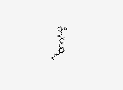 CCN1CCCC1CNC(=O)CNCc1cc(/C=N/C2CC2)ccn1